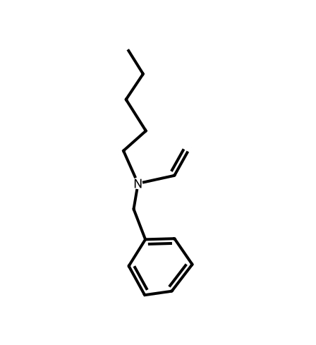 C=CN(CCCCC)Cc1ccccc1